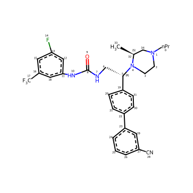 CCCN1CCN([C@@H](CNC(=O)Nc2cc(F)cc(C(F)(F)F)c2)c2ccc(-c3cccc(C#N)c3)cc2)[C@@H](C)C1